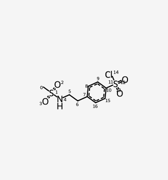 CS(=O)(=O)NCCc1ccc(S(=O)(=O)Cl)cc1